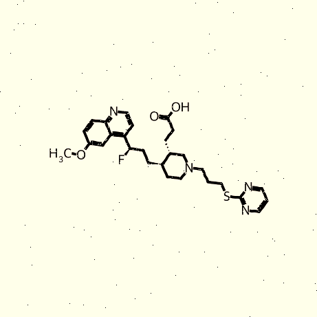 COc1ccc2nccc([C@H](F)CC[C@@H]3CCN(CCCSc4ncccn4)C[C@H]3CCC(=O)O)c2c1